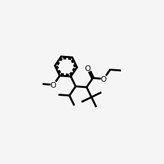 CCOC(=O)C(C(c1ccccc1OC)C(C)C)C(C)(C)C